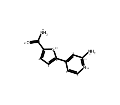 NC(=O)c1ccc(-c2ccnc(N)c2)s1